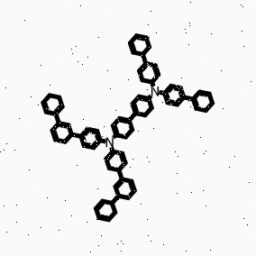 C1=CCC(C2=CCC(N(C3=CC=C(C4=CC=C(N(C5=CCC(C6=CC(C7C=CC=CC7)CC=C6)C=C5)c5ccc(C6C=C(C7=CCCC=C7)C=CC6)cc5)CC4)CC3)c3ccc(C4=CCCC=C4)cc3)C=C2)C=C1